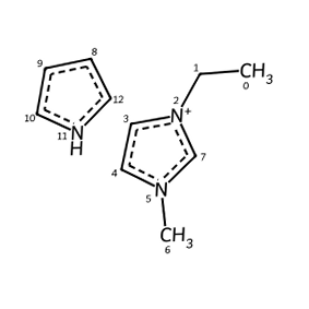 CC[n+]1ccn(C)c1.c1cc[nH]c1